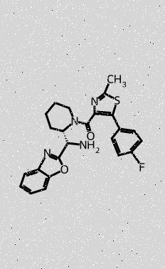 Cc1nc(C(=O)N2CCCC[C@H]2C(N)c2nc3ccccc3o2)c(-c2ccc(F)cc2)s1